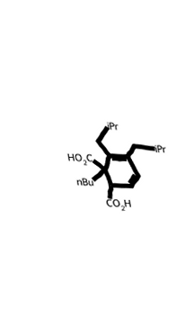 CCCCC1(C(=O)O)C(CC(C)C)=C(CC(C)C)C=CC1C(=O)O